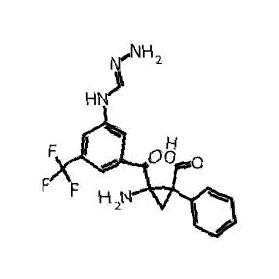 NN=CNc1cc(C(=O)C2(N)CC2(C(=O)O)c2ccccc2)cc(C(F)(F)F)c1